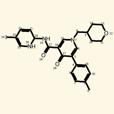 Cc1ccc(-c2cn(CC3CCOCC3)cc(C(=O)NC3C=CC(I)=CN3)c2=O)cc1